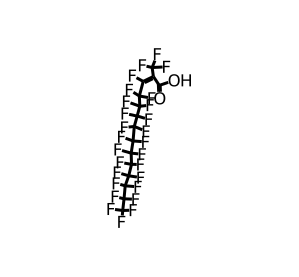 O=C(O)C(=C(F)C(F)(F)C(F)(F)C(F)(F)C(F)(F)C(F)(F)C(F)(F)C(F)(F)C(F)(F)C(F)(F)C(F)(F)C(F)(F)F)C(F)(F)F